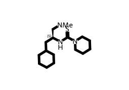 CNC[C@H](CC1CCCCC1)NC(=S)N1CCCCC1